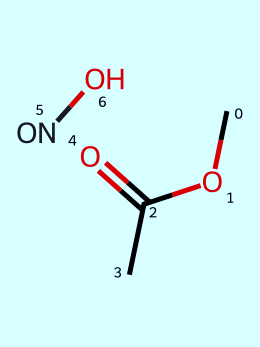 COC(C)=O.O=NO